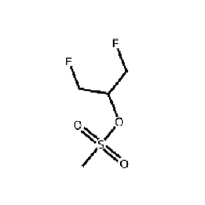 CS(=O)(=O)OC(CF)CF